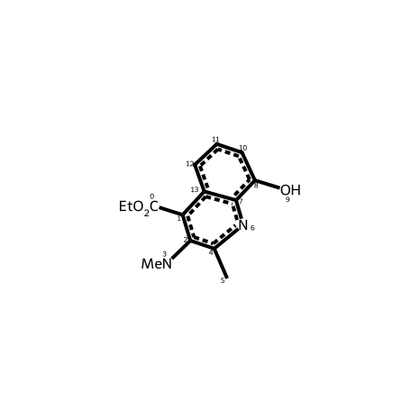 CCOC(=O)c1c(NC)c(C)nc2c(O)cccc12